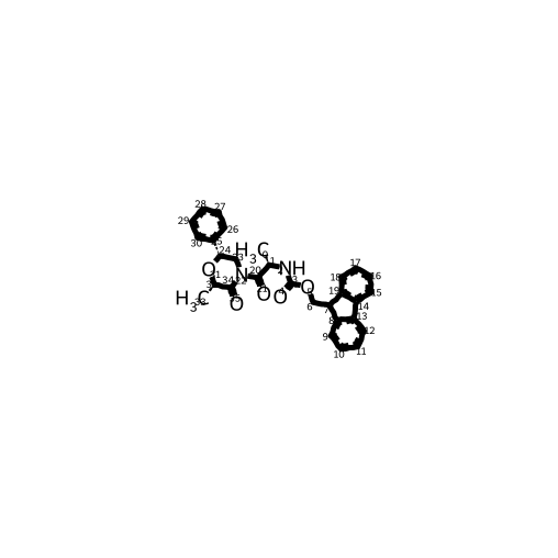 C[C@H](NC(=O)OCC1c2ccccc2-c2ccccc21)C(=O)N1C[C@@H](c2ccccc2)O[C@@H](C)C1=O